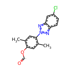 Cc1cc(-n2nc3ccc(Cl)cc3n2)c(C)cc1O[C]=O